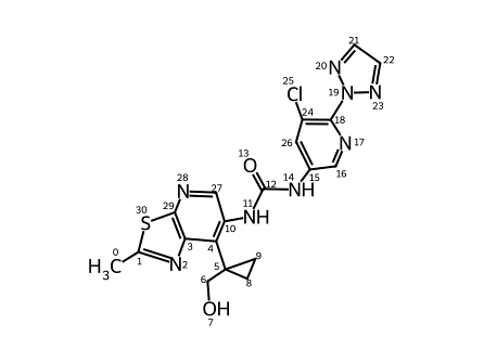 Cc1nc2c(C3(CO)CC3)c(NC(=O)Nc3cnc(-n4nccn4)c(Cl)c3)cnc2s1